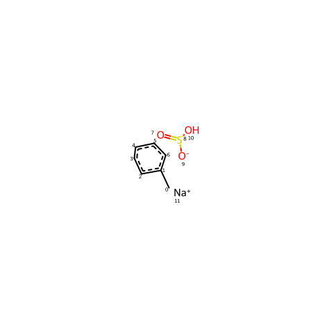 Cc1ccccc1.O=S([O-])O.[Na+]